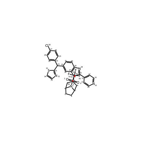 O=S(=O)(N1C2CCC1CC(n1c(-c3ccncc3)nc3ccc(C(c4ccc(Cl)cc4)c4nccs4)cc31)C2)C(F)(F)F